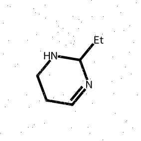 [CH2]CC1N=CCCN1